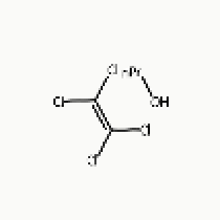 CCCO.ClC(Cl)=C(Cl)Cl